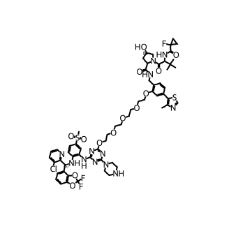 Cc1ncsc1-c1ccc(CNC(=O)C2C[C@@H](O)CN2C(=O)C(NC(=O)C2(F)CC2)C(C)(C)C)c(OCCOCCOCCOCCOc2nc(Nc3cc(S(C)(=O)=O)ccc3N[C@@H](c3cccc4c3OC(F)(F)O4)c3ncccc3Cl)nc(N3CCNCC3)n2)c1